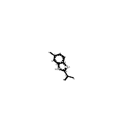 Cc1ccc2sc(C(C)C)nc2c1